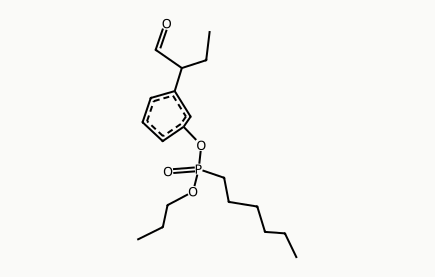 CCCCCCP(=O)(OCCC)Oc1cccc(C(C=O)CC)c1